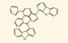 c1ccc(-c2ccccc2-c2ccccc2N(c2ccc(-c3cccc4c3sc3ccccc34)cc2)c2cccc3oc4ccccc4c23)cc1